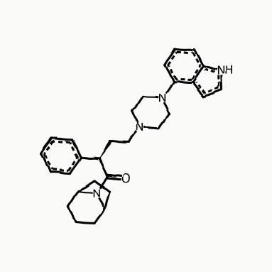 O=C([C@H](CCN1CCN(c2cccc3[nH]ccc23)CC1)c1ccccc1)N1C2CCCC1CC2